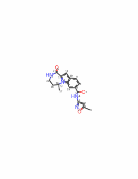 Cc1cc(NC(=O)c2ccc3cc4n(c3c2)[C@@H](C)CCNC4=O)no1